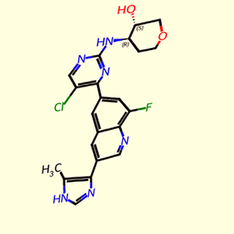 Cc1[nH]cnc1-c1cnc2c(F)cc(-c3nc(N[C@@H]4CCOC[C@H]4O)ncc3Cl)cc2c1